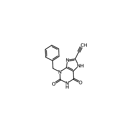 C#Cc1nc2c([nH]1)c(=O)[nH]c(=O)n2Cc1ccccc1